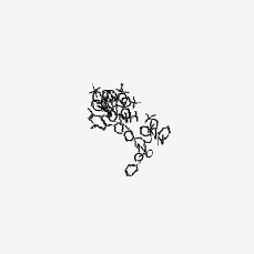 Cc1cc(C)c(S(=O)(=O)N(C(=O)OC(C)(C)C)C(CNC(=O)COC2CC(CN(C(=O)OC(C)(C)C)c3ccccn3)N(C(=O)OCc3ccccc3)C2)(C(=O)OC(C)(C)C)C(=O)OC(C)(C)C)c(C)c1